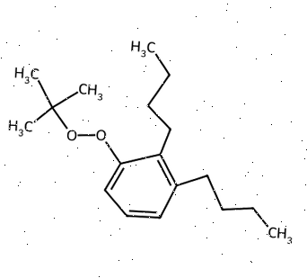 CCCCc1cccc(OOC(C)(C)C)c1CCCC